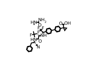 CC(C)(F)C[C@H](N[C@@H](c1ccc(-c2ccc(C3(C(=O)O)CC3)cc2)cc1)C(F)(F)F)C(=O)N[C@H](C#N)Cc1ccccc1.CNC(N)=O